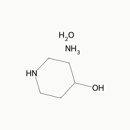 N.O.OC1CCNCC1